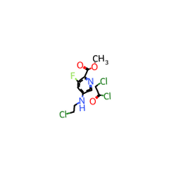 COC(=O)c1ncc(NCCCl)cc1F.O=C(Cl)CCl